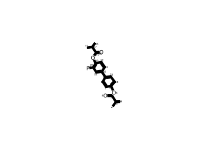 C=C(C)C(=O)Oc1ccc(-c2ccc(OC(=O)C(C)C)c(F)c2)cc1